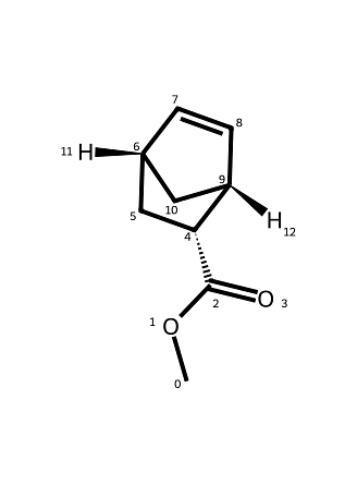 COC(=O)[C@@H]1C[C@@H]2C=C[C@H]1C2